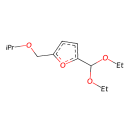 CCOC(OCC)c1ccc(COC(C)C)o1